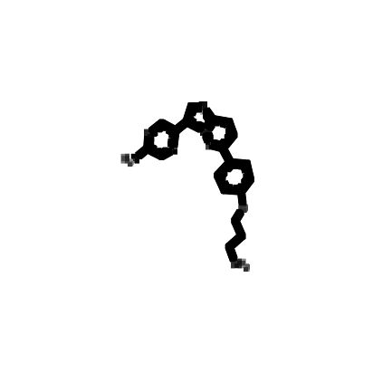 NCCCOc1ccc(-c2ccc3ncc(-c4cnc(N)cn4)n3n2)cc1